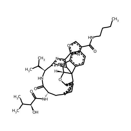 CCCCNC(=O)c1coc(-c2nc3oc2C24c5ccccc5N[C@H]2Oc2ccc(cc24)C[C@H](NC(=O)[C@@H](O)C(C)C)C(=O)N[C@H]3C(C)C)n1